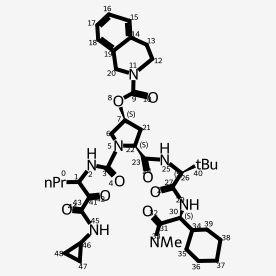 CCCC(NC(=O)N1C[C@@H](OC(=O)N2CCc3ccccc3C2)C[C@H]1C(=O)N[C@H](C(=O)N[C@H](C(=O)NC)C1CCCCC1)C(C)(C)C)C(=O)C(=O)NC1CC1